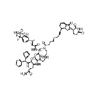 C/C(=C\C(=O)N[C@H]1CN(C(=O)CCCCCC#Cc2cccc3c2CN(C2CCC(=O)NC2=O)C3=O)CC[C@H]2CC[C@@H](C(=O)NC(CCC(N)=O)C(=O)NC(c3ccccc3)c3ccccc3)N2C1=O)c1ccc(C(F)(F)P(=O)(O)O)cc1